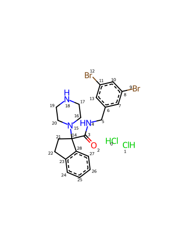 Cl.Cl.O=C(NCc1cc(Br)cc(Br)c1)C1(N2CCNCC2)CCc2ccccc21